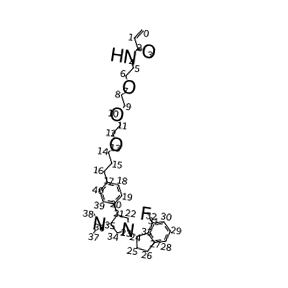 C=CC(=O)NCCOCCOCCOCCCc1ccc([C@H]2CN([C@H]3CCc4cccc(F)c43)C[C@@H]2N(C)C)cc1